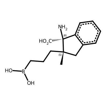 C[C@]1(CCCB(O)O)Cc2ccccc2[C@@]1(N)C(=O)O